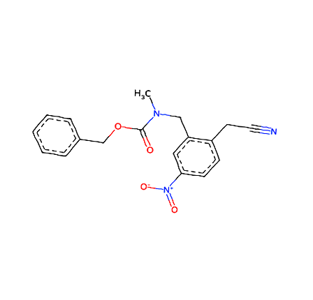 CN(Cc1cc([N+](=O)[O-])ccc1CC#N)C(=O)OCc1ccccc1